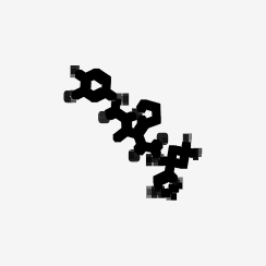 Cc1c(C(=O)C(=O)NC2(c3c[nH]nn3)CC(F)(F)C2)c2n(c1C(=O)Nc1ccc(F)c(Cl)c1)CCC2